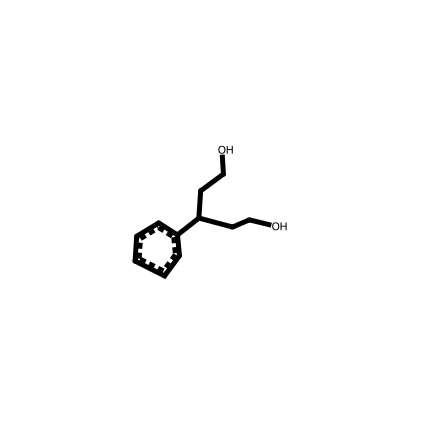 OCCC(CCO)c1ccccc1